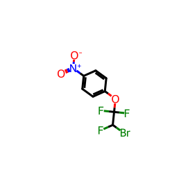 O=[N+]([O-])c1ccc(OC(F)(F)C(F)Br)cc1